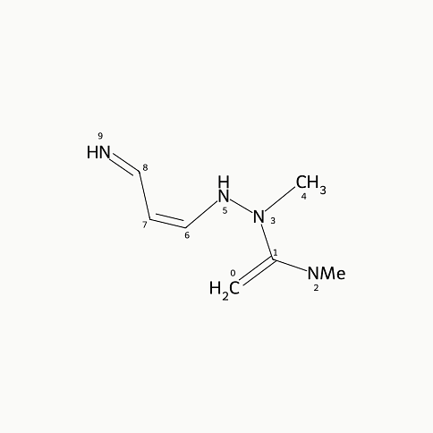 C=C(NC)N(C)N/C=C\C=N